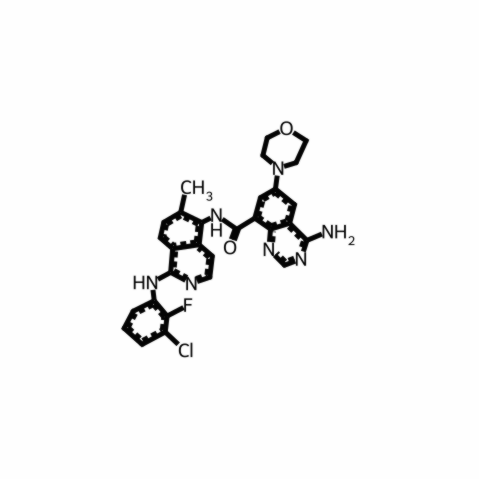 Cc1ccc2c(Nc3cccc(Cl)c3F)nccc2c1NC(=O)c1cc(N2CCOCC2)cc2c(N)ncnc12